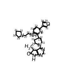 CC1C(=O)Nc2ncnc(N3CCC(c4nc(-c5ccoc5)ccc4NCCN4CCCC4)CC3)c21